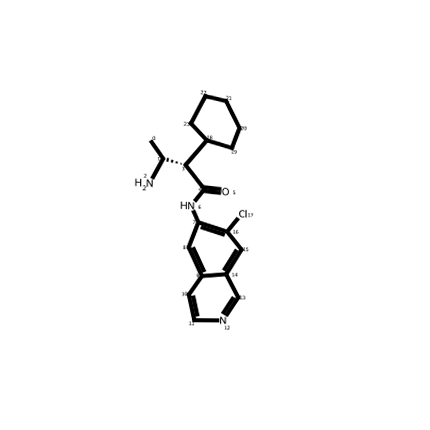 CC(N)[C@@H](C(=O)Nc1cc2ccncc2cc1Cl)C1CCCCC1